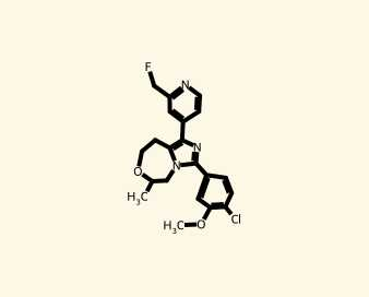 COc1cc(-c2nc(-c3ccnc(CF)c3)c3n2CC(C)OCC3)ccc1Cl